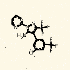 Nc1c(-c2cc(Cl)cc(C(F)(F)F)c2)c(C(F)(F)F)nn1-c1ncccn1